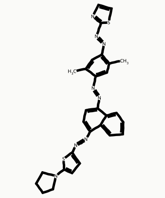 Cc1cc(/N=N/c2ccc(/N=N/c3ccc(N4CCCC4)s3)c3ccccc23)c(C)cc1/N=N/c1nccs1